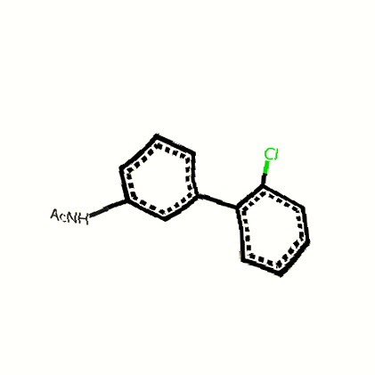 CC(=O)Nc1cccc(-c2ccccc2Cl)c1